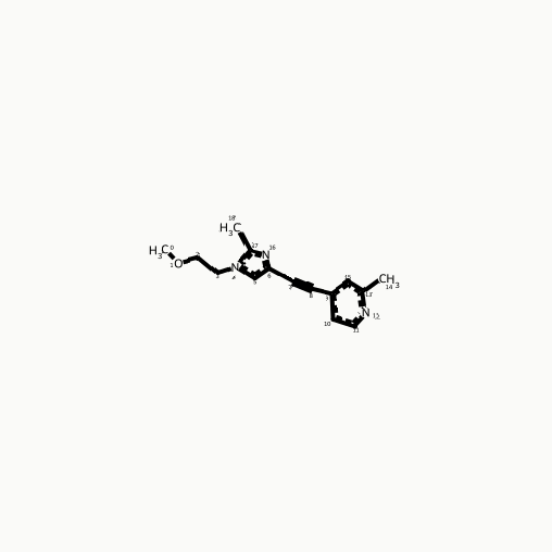 COCCn1cc(C#Cc2ccnc(C)c2)nc1C